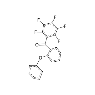 O=C(c1ccccc1Oc1ccccc1)c1c(F)c(F)c(F)c(F)c1F